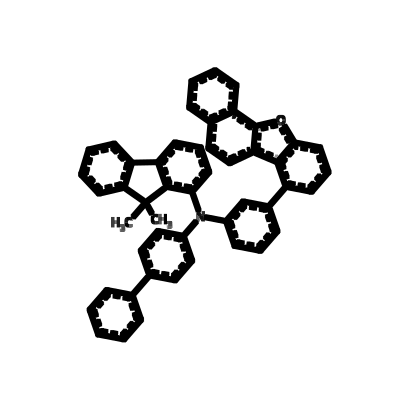 CC1(C)c2ccccc2-c2cccc(N(c3ccc(-c4ccccc4)cc3)c3cccc(-c4cccc5oc6c7ccccc7ccc6c45)c3)c21